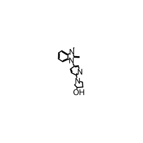 C=C1N(C)c2ccccc2N1c1ccc(N2CCC(O)C2)nc1